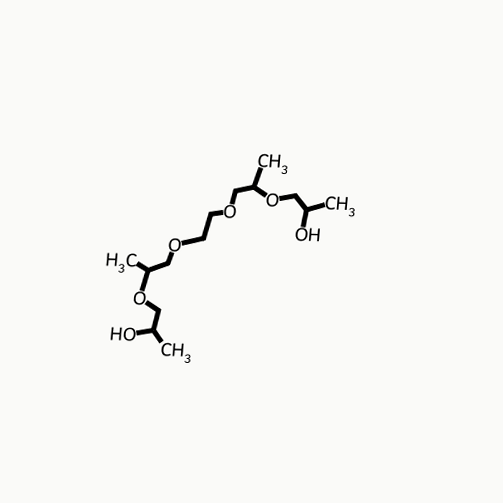 CC(O)COC(C)COCCOCC(C)OCC(C)O